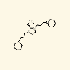 O=[N+]([O-])C=C1N(CCCN2CCCCC2)CCN1CCCN1CCCCC1